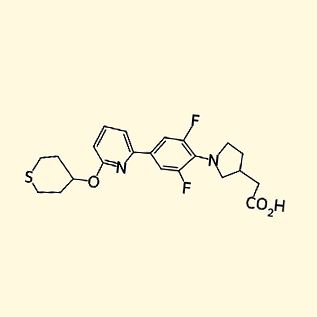 O=C(O)CC1CCN(c2c(F)cc(-c3cccc(OC4CCSCC4)n3)cc2F)C1